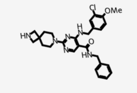 COc1ccc(CNc2nc(N3CCC4(CC3)CNC4)ncc2C(=O)NCc2ccccc2)cc1Cl